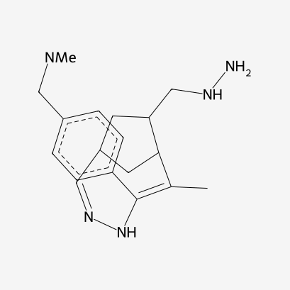 CNCc1ccc(/C2=C(/C)C3CC(/C=N\N2)CC3CNN)cc1